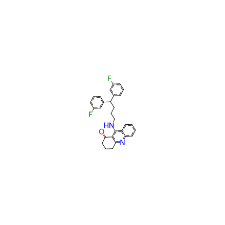 O=C1CCCc2nc3ccccc3c(NCCCC(c3cccc(F)c3)c3cccc(F)c3)c21